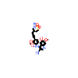 COc1cc2ncc(C#N)c(Nc3ccc(C#CCC4CCS(=O)(=O)NC4)c4c3OCO4)c2cc1OC